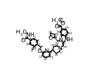 CNC(=O)c1ccc(COc2cccc(C3CCN(C=C4Nc5ccc(C(=O)OC)cc5N4C[C@@H]4CCO4)CC3)n2)c(F)c1